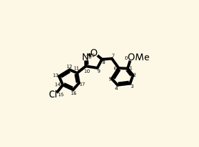 COc1ccccc1CC1CC(c2ccc(Cl)cc2)=NO1